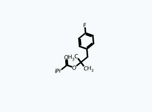 CC(C)C(=O)OC(C)(C)Cc1ccc(F)cc1